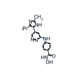 Cc1nc(C(C)C)c(-c2cnnc(Nc3ccc(C(=O)NO)cc3)c2)[nH]1